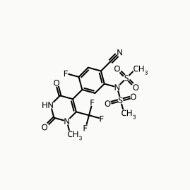 Cn1c(C(F)(F)F)c(-c2cc(N(S(C)(=O)=O)S(C)(=O)=O)c(C#N)cc2F)c(=O)[nH]c1=O